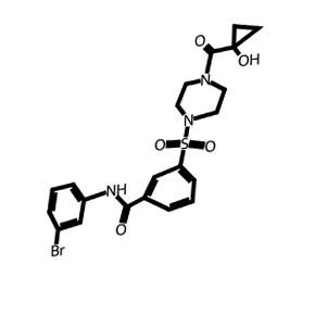 O=C(Nc1cccc(Br)c1)c1cccc(S(=O)(=O)N2CCN(C(=O)C3(O)CC3)CC2)c1